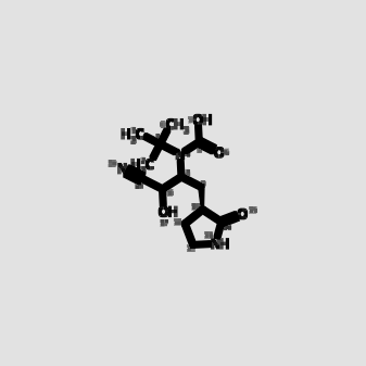 CC(C)(C)N(C(=O)O)C(C[C@@H]1CCNC1=O)C(O)C#N